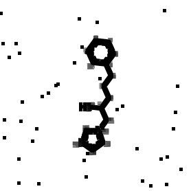 SC(CCCc1ccccc1)Cn1ccnc1